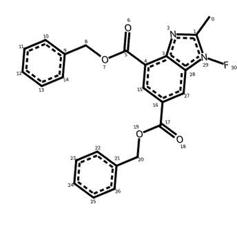 Cc1nc2c(C(=O)OCc3ccccc3)cc(C(=O)OCc3ccccc3)cc2n1F